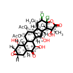 CC(=O)O[C@H]1C2C([C@@H]3[C@@H](O)[C@@H]4[C@H]([C@H](C)C(Cl)C5(Cl)OC(=O)[C@@](C)(O)[C@]45C)[C@@]3(C)[C@H]1OC(C)=O)[C@@H](O)C(=O)[C@H]1C[C@@H]3O[C@@H]3[C@H](O)[C@]21C